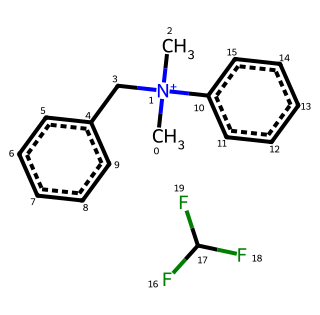 C[N+](C)(Cc1ccccc1)c1ccccc1.FC(F)F